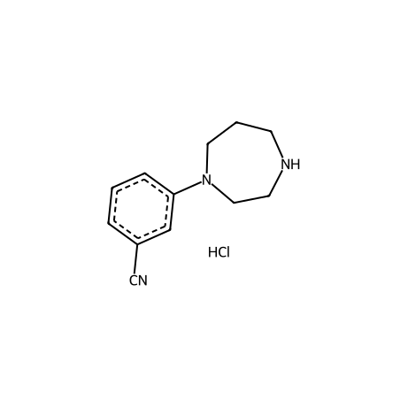 Cl.N#Cc1cccc(N2CCCNCC2)c1